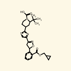 CC(C)(C)C1CC(c2nc(C3=NOC(c4ccccc4C(=O)OCC4CC4)C3)cs2)CCN1C(=O)O